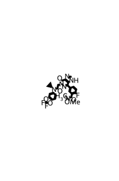 CON(C)C(=O)c1cc(-c2nn(CC(=O)N(c3ccc4c(c3)OC(F)(F)O4)C3CC3)c(=O)c3nc[nH]c23)ccc1F